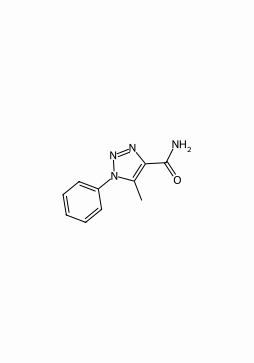 Cc1c(C(N)=O)nnn1-c1ccccc1